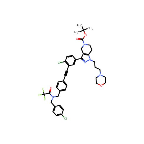 CC(C)(C)OC(=O)N1CCc2c(c(-c3ccc(Cl)c(C#Cc4ccc(CN(Cc5ccc(Cl)cc5)C(=O)C(F)(F)F)cc4)c3)nn2CCCN2CCOCC2)C1